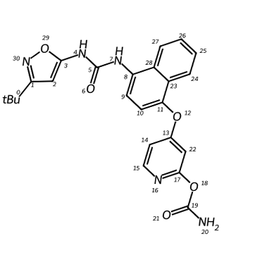 CC(C)(C)c1cc(NC(=O)Nc2ccc(Oc3ccnc(OC(N)=O)c3)c3ccccc23)on1